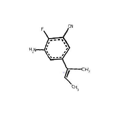 C/C=C(\C)c1cc(N)c(F)c(C#N)c1